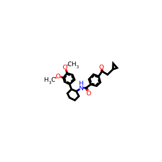 COc1ccc(C2CCCCC2NC(=O)c2ccc(C(=O)CC3CC3)cc2)cc1OC